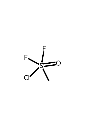 CS(=O)(F)(F)Cl